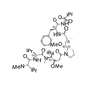 CC[C@H](C)[C@@H]([C@@H](CC(=O)N1CCC[C@H]1[C@H](OC)[C@@H](C)C(=O)N[C@@H](Cc1ccccc1)C(=O)NS(=O)(=O)C(C)C)OC)N(C)C(=O)[C@@H](NC(=O)C(NC)C(C)C)C(C)C